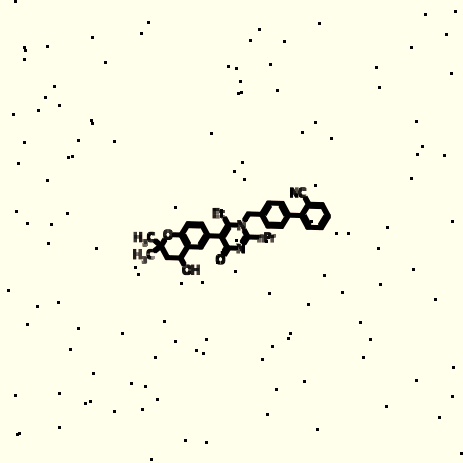 CCCc1nc(=O)c(-c2ccc3c(c2)C(O)CC(C)(C)O3)c(CC)n1Cc1ccc(-c2ccccc2C#N)cc1